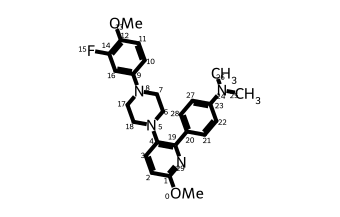 COc1ccc(N2CCN(c3ccc(OC)c(F)c3)CC2)c(-c2ccc(N(C)C)cc2)n1